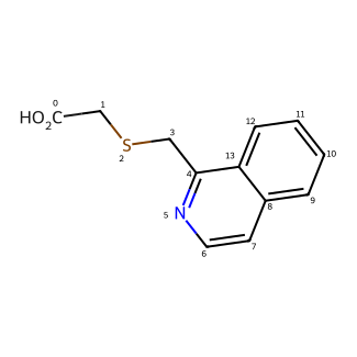 O=C(O)CSCc1nccc2ccccc12